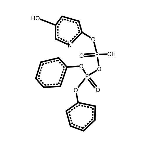 O=P(O)(Oc1ccc(O)cn1)OP(=O)(Oc1ccccc1)Oc1ccccc1